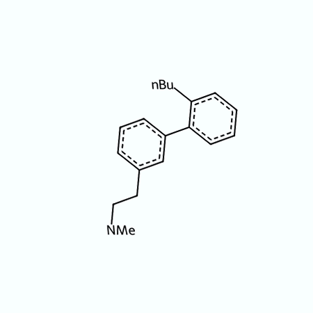 CCCCc1ccccc1-c1cccc(CCNC)c1